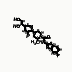 C[C@@H]1CN(c2ncc([C@H](O)CO)cc2F)CCN1C(=O)Nc1nc2cc(F)ccc2s1